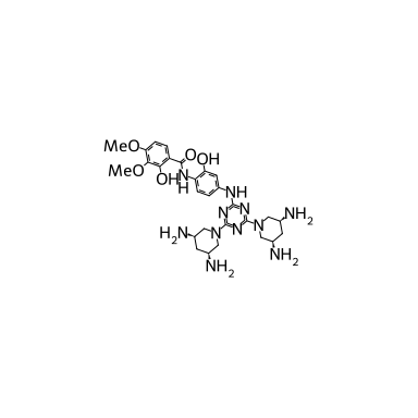 COc1ccc(C(=O)Nc2ccc(Nc3nc(N4C[C@H](N)C[C@H](N)C4)nc(N4C[C@H](N)C[C@H](N)C4)n3)cc2O)c(O)c1OC